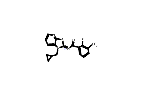 O=C(/N=c1\sc2ncccc2n1CC1CC1)c1cccc(C(F)(F)F)c1F